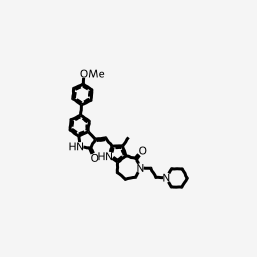 COc1ccc(-c2ccc3c(c2)/C(=C/c2[nH]c4c(c2C)C(=O)N(CCN2CCCCC2)CCC4)C(=O)N3)cc1